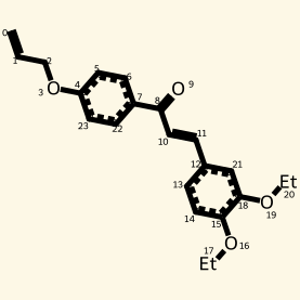 C=CCOc1ccc(C(=O)C=Cc2ccc(OCC)c(OCC)c2)cc1